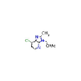 COCn1c(C)nc2c(Cl)ccnc21